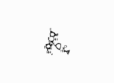 Nc1ncc2nc(Nc3c(F)cc(F)cc3F)n([C@H]3CC[C@@H](C(=O)NC4CC4)CC3)c2n1